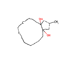 CC1CC2(O)CCCCCCCCCCC2(O)C1